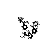 CC(=O)O[C@@H](C(=O)Nc1ccc([C@@H](C)NC(=O)OC(C)(C)C)cc1)[C@H]1OCCN(c2ccc(F)c(C(=O)N3CCOCC3)c2)C1=O